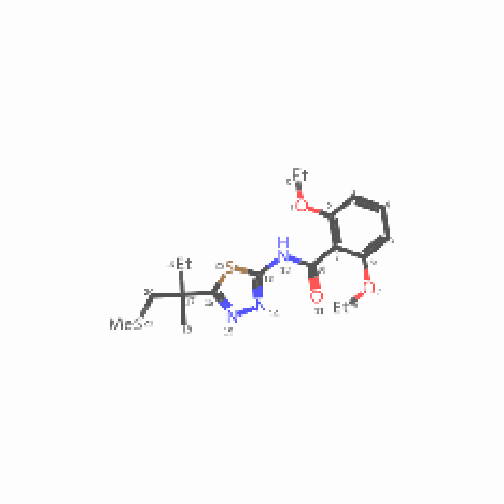 CCOc1cccc(OCC)c1C(=O)Nc1nnc(C(C)(CC)CSC)s1